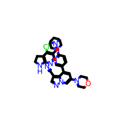 N#Cc1cnn2cc(N3CCOCC3)cc(-c3ccc(N4CC5CC(C4)N5Cc4cnc5c(c4Cl)CCN5)nc3)c12